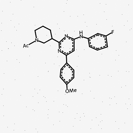 COc1ccc(-c2cc(Nc3cccc(F)c3)nc(C3CCCN(C(C)=O)C3)n2)cc1